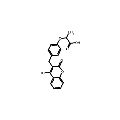 CC(Oc1ccc(Cc2c(O)c3ccccc3oc2=O)cc1)C(=O)O